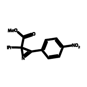 COC(=O)C1(C(C)C)N=C1c1ccc([N+](=O)[O-])cc1